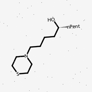 CCCCC[C@@H](O)CCCCN1CCSCC1